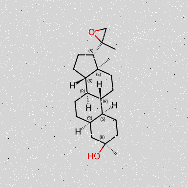 CC1([C@H]2CC[C@H]3[C@@H]4CC[C@@H]5C[C@](C)(O)CC[C@@H]5[C@H]4CC[C@]23C)CO1